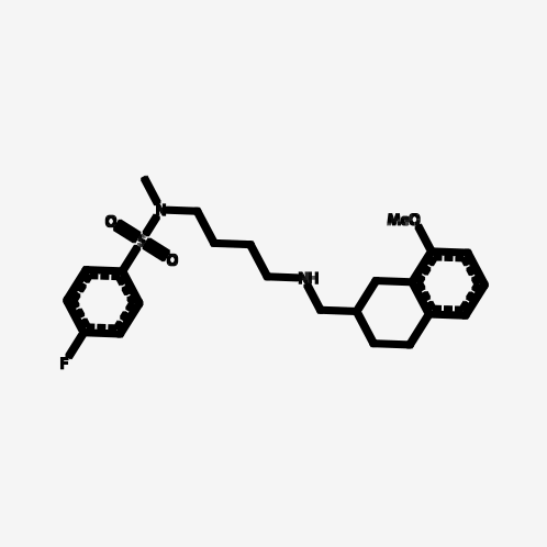 COc1cccc2c1CC(CNCCCCN(C)S(=O)(=O)c1ccc(F)cc1)CC2